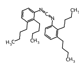 CCCCc1cccc(N=C=Nc2cccc(CCCC)c2CCCC)c1CCCC